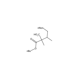 CCCCCCCCCCC(C)C(C)(C(=O)O)C(=O)OCCCC